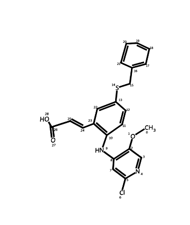 COc1cnc(Cl)cc1Nc1ccc(SCc2ccccc2)cc1/C=C/C(=O)O